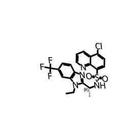 CCn1c([C@@H](C)NS(=O)(=O)c2ccc(Cl)c3cccnc23)nc2ccc(C(F)(F)F)cc21